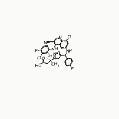 CC(C)(CC(=O)O)n1cc(C(Nc2cc(Cl)c3ncc(C#N)c(Nc4ccc(F)c(Cl)c4)c3c2)c2ccc(F)cc2)nn1